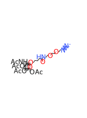 CC(=O)N[C@H]1[C@H](OCCCCC(=O)NCCOCCOCCN=[N+]=[N-])O[C@H](COC(C)=O)[C@H](OC(C)=O)[C@@H]1OC(C)=O